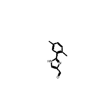 Cc1ccc(C)c(-c2nc(C=O)c[nH]2)c1